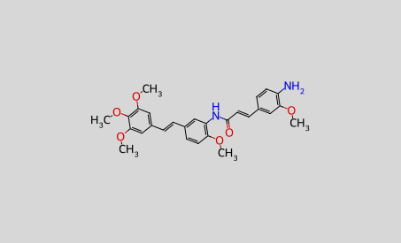 COc1cc(/C=C/C(=O)Nc2cc(/C=C/c3cc(OC)c(OC)c(OC)c3)ccc2OC)ccc1N